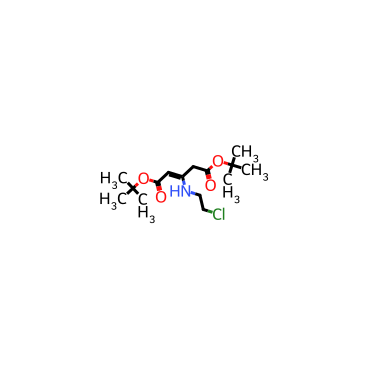 CC(C)(C)OC(=O)/C=C(/CC(=O)OC(C)(C)C)NCCCl